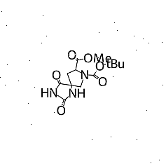 COC(=O)C1CC2(CN1C(=O)OC(C)(C)C)NC(=O)NC2=O